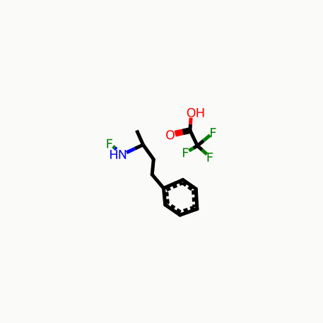 CC(CCc1ccccc1)NF.O=C(O)C(F)(F)F